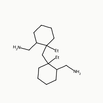 CCC1(CC2(CC)CCCCC2CN)CCCCC1CN